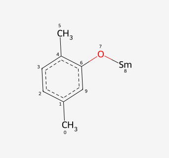 Cc1ccc(C)c([O][Sm])c1